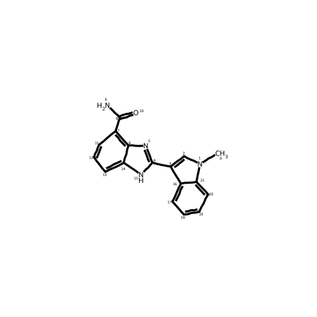 Cn1cc(-c2nc3c(C(N)=O)cccc3[nH]2)c2ccccc21